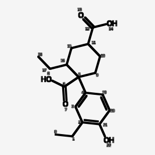 CCc1cc(C2(C(=O)O)CCC(C(=O)O)CC2CC)ccc1O